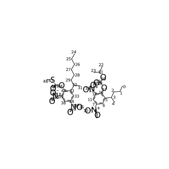 CCCC(C)c1cc([N+](=O)[O-])cc([N+](=O)[O-])c1OC(=O)OC(C)C.CCCCCCC(C)c1cc([N+](=O)[O-])cc([N+](=O)[O-])c1OC(=O)SC